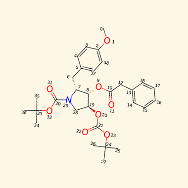 COc1ccc(C[C@@H]2[C@H](OC(=O)Cc3ccccc3)[C@@H](OC(=O)OC(C)(C)C)CN2C(=O)OC(C)(C)C)cc1